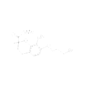 CCCc1c(OCCCBr)ccc2c1OC(C)(C(=O)OC)CC2